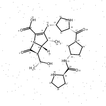 C[C@@H](O)[C@H]1C(=O)N2C(C(=O)O)=C(S[C@@H]3CN[C@H](C(=O)N4CC[C@H](NC(=O)[C@H]5CCCN5)C4)C3)[C@H](C)[C@H]12